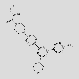 Cc1ncc(-c2cc(-c3ccc(N4CCN(C(=O)C(=O)CC(C)C)CC4)nc3)cc(N3CCOCC3)n2)cn1